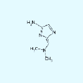 CN(C)C=C1N=CC(N)=N1